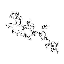 CNC(=O)CN1CCN(c2nc3c(C(C)C)c(-c4cc(C)c5ncnn5c4)[nH]c3s2)C(C)C1